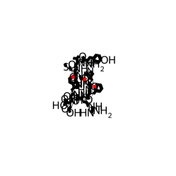 CSCC[C@H](NC(=O)[C@@H](NC(=O)[C@@H](N)Cc1ccc(O)cc1)C(C)C)C(=O)NCC(=O)N[C@@H](Cc1c[nH]cn1)C(=O)N[C@@H](Cc1ccccc1)C(=O)N[C@@H](CCCNC(=N)N)C(=O)N[C@H](Cc1c[nH]c2ccccc12)C(=O)N[C@@H](CC(=O)O)C(=O)O